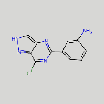 Nc1cccc(-c2nc(Cl)c3n[nH]cc3n2)c1